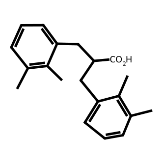 Cc1cccc(CC(Cc2cccc(C)c2C)C(=O)O)c1C